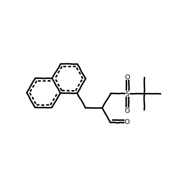 CC(C)(C)S(=O)(=O)CC([C]=O)Cc1cccc2ccccc12